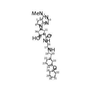 CNc1ncnc2c1ccn2[C@@H]1C[C@H](C(=O)NCCNCCc2cccc(Oc3ccccc3)c2)[C@@H](O)C1